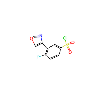 O=S(=O)(Cl)c1ccc(F)c(-c2cocn2)c1